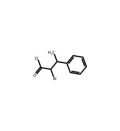 CC(c1ccccc1)C(Br)C(=O)Cl